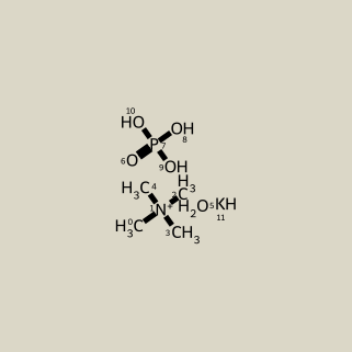 C[N+](C)(C)C.O.O=P(O)(O)O.[KH]